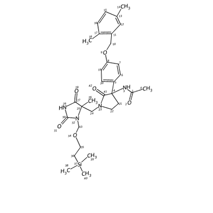 CC(=O)NC1(c2ccc(OCc3cc(C)ccc3C)cc2)CCN(CC2(C)C(=O)NC(=O)N2COCC[Si](C)(C)C)C1=O